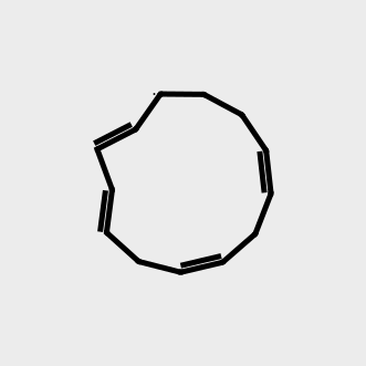 [CH]1/C=C/C=C/C/C=C\C/C=C\CC1